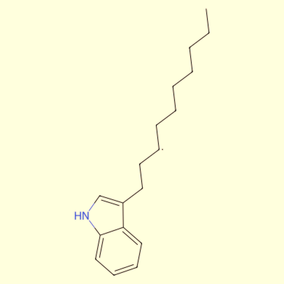 CCCCCCC[CH]CCc1c[nH]c2ccccc12